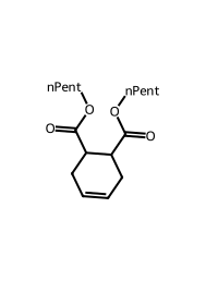 CCCCCOC(=O)C1CC=CCC1C(=O)OCCCCC